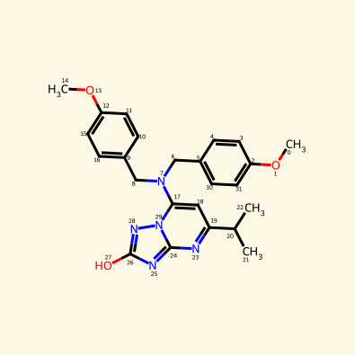 COc1ccc(CN(Cc2ccc(OC)cc2)c2cc(C(C)C)nc3nc(O)nn23)cc1